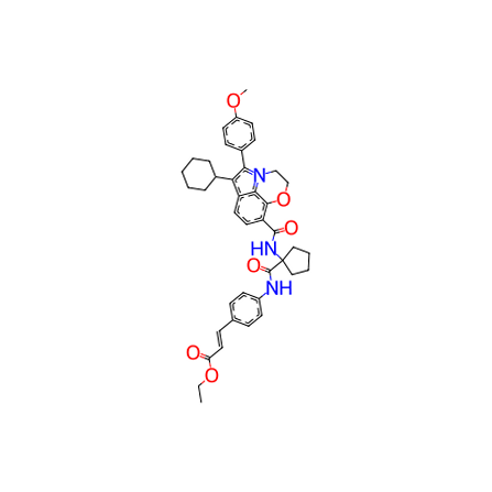 CCOC(=O)/C=C/c1ccc(NC(=O)C2(NC(=O)c3ccc4c(C5CCCCC5)c(-c5ccc(OC)cc5)n5c4c3OCC5)CCCC2)cc1